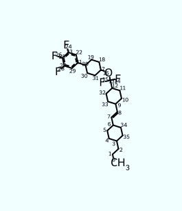 CCCC1CCC(/C=C/C2CCC(C(F)(F)OC3CCC(c4cc(F)c(F)c(F)c4)CC3)CC2)CC1